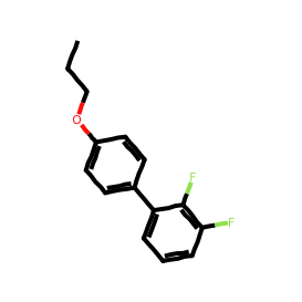 CCCOc1ccc(-c2cccc(F)c2F)cc1